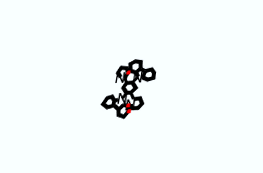 c1ccc(-c2cc(-n3c4ccccc4c4ccccc43)c(-c3ccccn3)cc2-n2c3ccccc3c3ccccc32)nc1